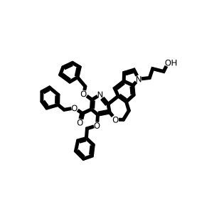 O=C(OCc1ccccc1)c1c(OCc2ccccc2)nc2c(c1OCc1ccccc1)OCCc1cc3c(ccn3CCCO)cc1-2